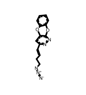 [N-]=[N+]=NCC/C=C/c1cc2c(nn1)Oc1ccccc1O2